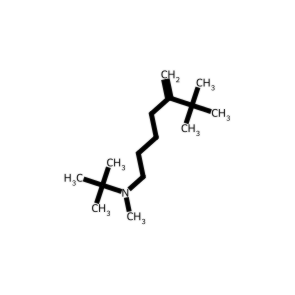 C=C(CCCCN(C)C(C)(C)C)C(C)(C)C